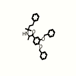 CC(NC(C)(C)CCc1ccccc1)C(=O)c1ccc(OCc2ccccc2)c(OCc2ccccc2)c1